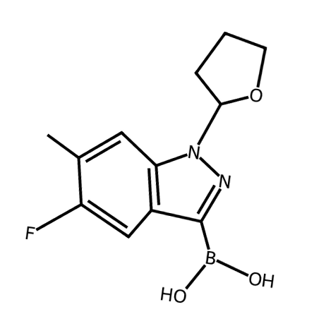 Cc1cc2c(cc1F)c(B(O)O)nn2C1CCCO1